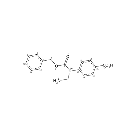 NC[C@H](C(=O)OCc1ccccc1)c1ccc(C(=O)O)cc1